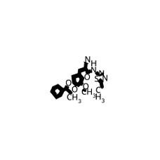 CCc1nnc(NC(=O)C(C#N)=Cc2ccc(OC(C)C(=O)c3ccccc3)c(OC)c2)s1